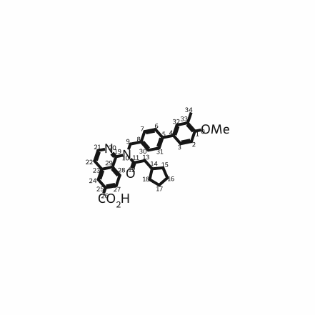 COc1ccc(-c2ccc(CN(C(=O)CC3CCCC3)c3nccc4cc(C(=O)O)ccc34)cc2)cc1C